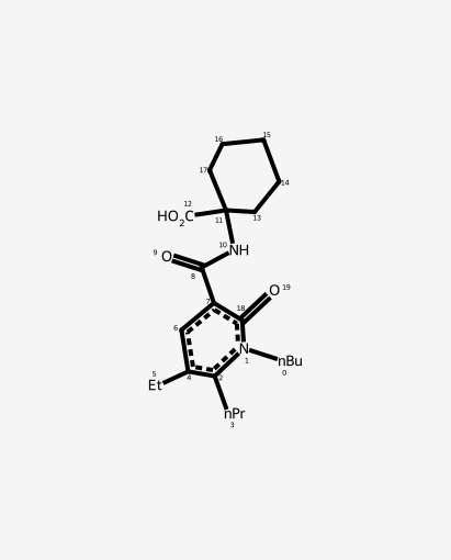 CCCCn1c(CCC)c(CC)cc(C(=O)NC2(C(=O)O)CCCCC2)c1=O